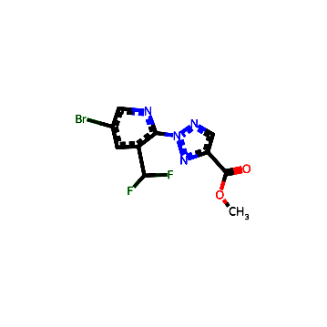 COC(=O)c1cnn(-c2ncc(Br)cc2C(F)F)n1